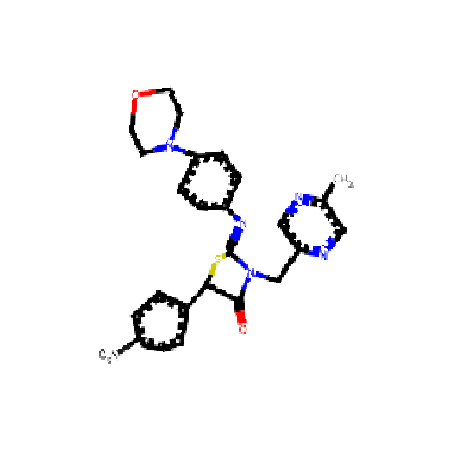 Cc1cnc(CN2C(=O)C(c3ccc([N+](=O)[O-])cc3)SC2=Nc2ccc(N3CCOCC3)cc2)cn1